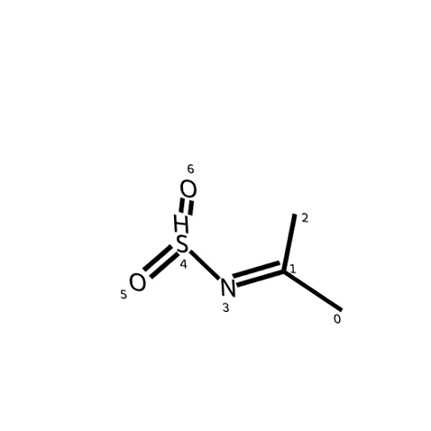 CC(C)=N[SH](=O)=O